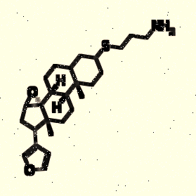 C[C@]12CCC(SCCCN)CC1CC[C@@H]1[C@H]2CC[C@]2(C)C(c3ccoc3)CC3O[C@]312